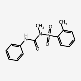 Cc1ccccc1S(=O)(=O)N(C)C(=O)Nc1ccccc1